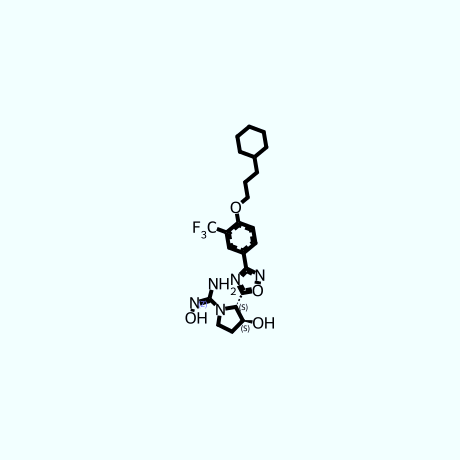 N/C(=N/O)N1CC[C@H](O)[C@H]1c1nc(-c2ccc(OCCCC3CCCCC3)c(C(F)(F)F)c2)no1